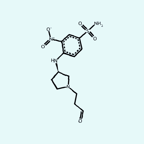 NS(=O)(=O)c1ccc(N[C@@H]2CCN(CCC=O)C2)c([N+](=O)[O-])c1